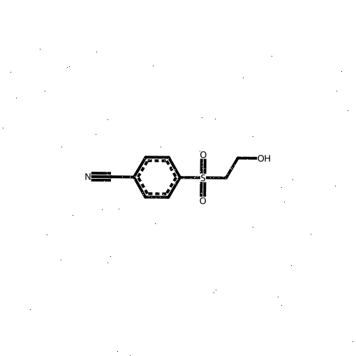 N#Cc1ccc(S(=O)(=O)CCO)cc1